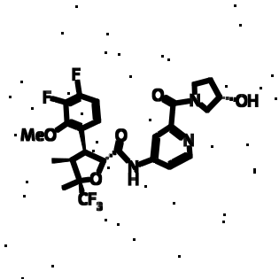 COc1c([C@H]2[C@H](C(=O)Nc3ccnc(C(=O)N4CC[C@H](O)C4)c3)O[C@@](C)(C(F)(F)F)[C@H]2C)ccc(F)c1F